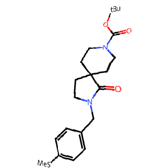 CSc1ccc(CN2CCC3(CCN(C(=O)OC(C)(C)C)CC3)C2=O)cc1